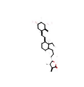 C=C1C(=O)O[C@H](C[C@@H](C)[C@H]2CC[C@H]3/C(=C/C=C4/C[C@@H](O)[C@H](C)[C@H](O)C4=C)CCC[C@]23C)[C@@H]1C